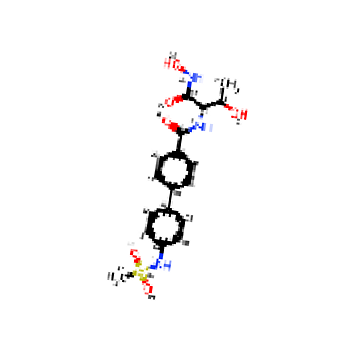 C[C@@H](O)[C@H](NC(=O)c1ccc(-c2ccc(NS(C)(=O)=O)cc2)cc1)C(=O)NO